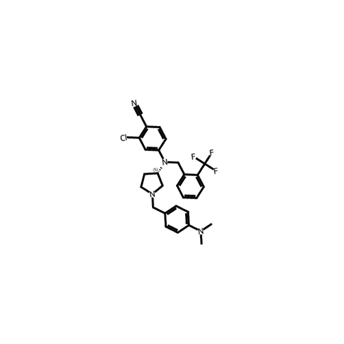 CN(C)c1ccc(CN2CC[C@H](N(Cc3ccccc3C(F)(F)F)c3ccc(C#N)c(Cl)c3)C2)cc1